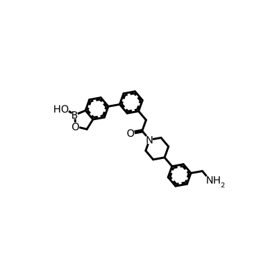 NCc1cccc(C2CCN(C(=O)Cc3cccc(-c4ccc5c(c4)COB5O)c3)CC2)c1